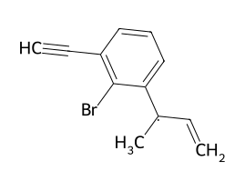 C#Cc1cccc([C](C)C=C)c1Br